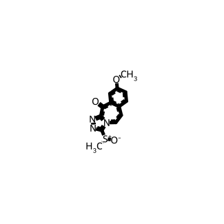 COc1ccc2ccn3c([S+](C)[O-])nnc3c(=O)c2c1